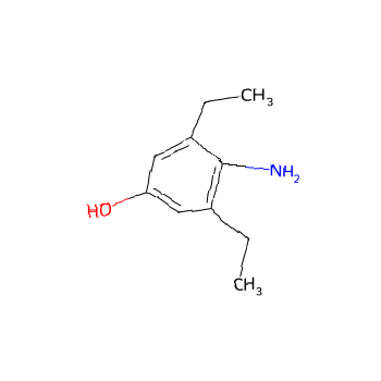 CCc1cc(O)cc(CC)c1N